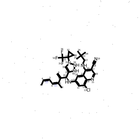 C=C(/C(C)=C\C=C/C)[C@H](Nc1cc(Cl)c2ncc(C#N)c(NCC(C)(C)C)c2c1)C1=CN(C2(C(F)(F)F)CC2)NN1